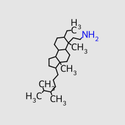 CCC1CCC2C(CCC3(C)C(CCCC(C)C(C)C)CCC23)C1(C)CCN